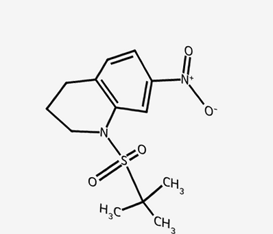 CC(C)(C)S(=O)(=O)N1CCCc2ccc([N+](=O)[O-])cc21